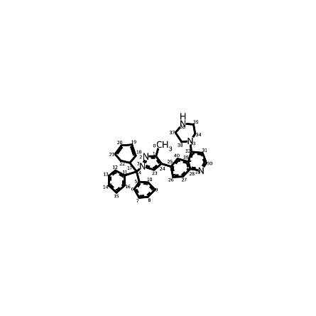 Cc1nn(C(c2ccccc2)(c2ccccc2)C2C=CC=CC2)cc1-c1ccc2nccc(N3CCNCC3)c2c1